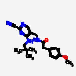 COc1ccc(CC(=O)NCc2cnc(C#N)nc2NCC(C)(C)C)cc1